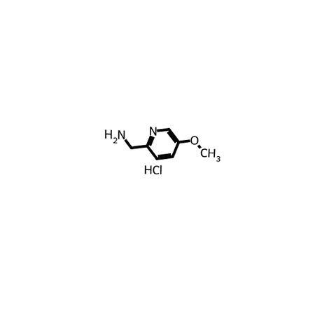 COc1ccc(CN)nc1.Cl